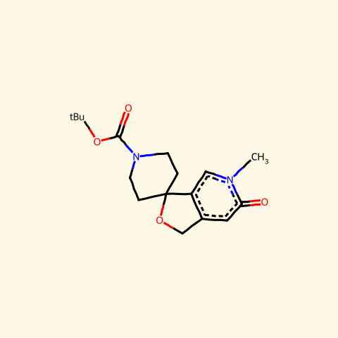 Cn1cc2c(cc1=O)COC21CCN(C(=O)OC(C)(C)C)CC1